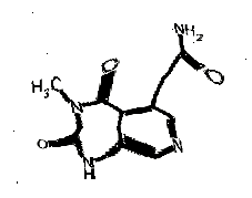 Cn1c(=O)[nH]c2cncc(CC(N)=O)c2c1=O